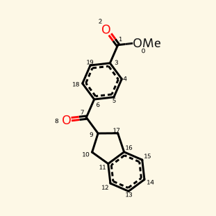 COC(=O)c1ccc(C(=O)C2Cc3ccccc3C2)cc1